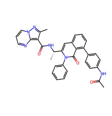 CC(=O)Nc1ccc(-c2cccc3cc([C@H](C)NC(=O)c4c(C)nn5cccnc45)n(-c4ccccc4)c(=O)c23)cc1